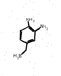 BCc1ccc(N)c(N)c1